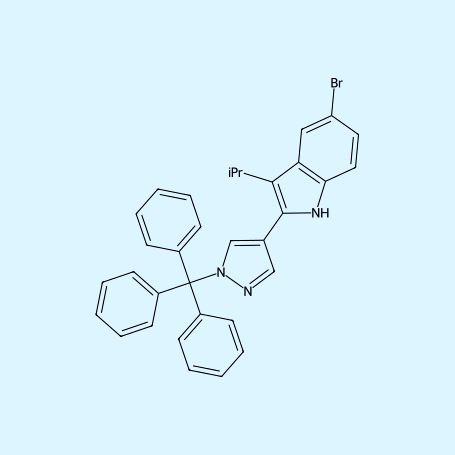 CC(C)c1c(-c2cnn(C(c3ccccc3)(c3ccccc3)c3ccccc3)c2)[nH]c2ccc(Br)cc12